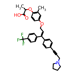 Cc1cc(OCC=C(c2ccc(C#CCN3CCCC3)cc2)c2ccc(C(F)(F)F)cc2)ccc1OC(C)C(=O)O